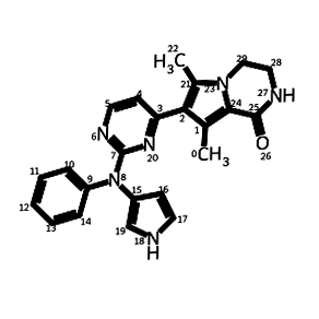 Cc1c(-c2ccnc(N(c3ccccc3)c3cc[nH]c3)n2)c(C)n2c1C(=O)NCC2